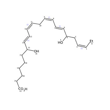 CC/C=C\CC(O)/C=C/C=C\C/C=C\C=C\C(O)CCCCCC(=O)O